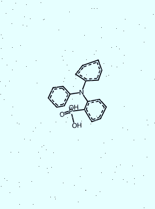 O=P(O)(O)c1ccccc1N(c1ccccc1)c1ccccc1